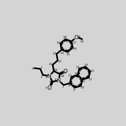 CCCN1C(=O)N(Cc2ccc3ccccc3c2)C(=O)C1CCCc1ccc(OC)cc1